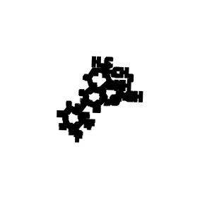 CC1(C)CCc2cc(-c3cccc(F)c3F)ccc2C1NC(=O)O